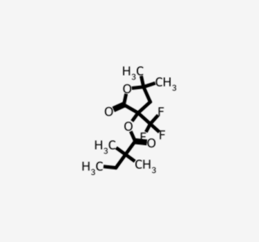 CCC(C)(C)C(=O)OC1(C(F)(F)F)CC(C)(C)OC1=O